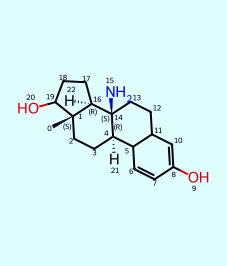 C[C@]12CC[C@@H]3C4C=CC(O)=CC4CC[C@@]3(N)[C@@H]1CCC2O